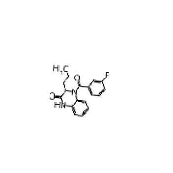 CCCC1C(=O)Nc2ccccc2N1C(=O)c1cccc(F)c1